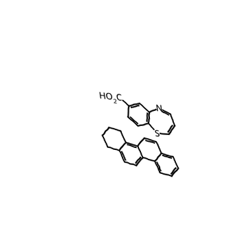 O=C(O)c1ccc2c(c1)N=CC=CS2.c1ccc2c(c1)ccc1c3c(ccc12)CCCC3